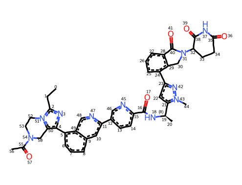 CCc1nc(-c2cccc3cc(-c4ccc(C(=O)N[C@H](C)c5cc(-c6cccc7c6CN(C6CCC(=O)NC6=O)C7=O)nn5C)nc4)ncc23)c2n1CCN(C(C)=O)C2